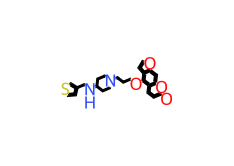 O=c1ccc2c(OCCCN3CCC(NCc4ccsc4)CC3)c3ccoc3cc2o1